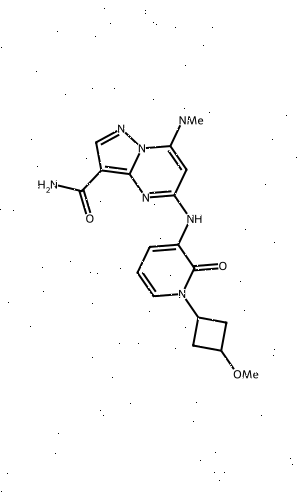 CNc1cc(Nc2cccn(C3CC(OC)C3)c2=O)nc2c(C(N)=O)cnn12